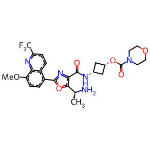 COc1ccc(-c2nc(C(=O)N[C@H]3C[C@@H](OC(=O)N4CCOCC4)C3)c([C@H](C)N)o2)c2ccc(C(F)(F)F)nc12